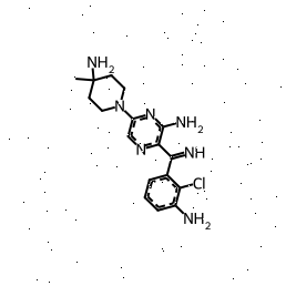 CC1(N)CCN(c2cnc(C(=N)c3cccc(N)c3Cl)c(N)n2)CC1